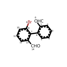 O=Cc1ccccc1-c1c(Br)cccc1C=O